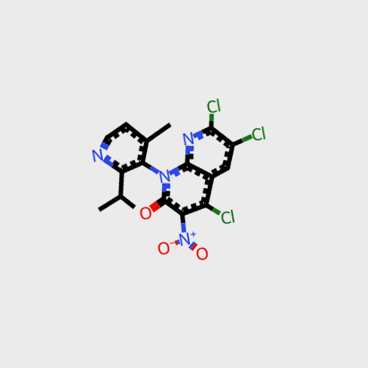 Cc1ccnc(C(C)C)c1-n1c(=O)c([N+](=O)[O-])c(Cl)c2cc(Cl)c(Cl)nc21